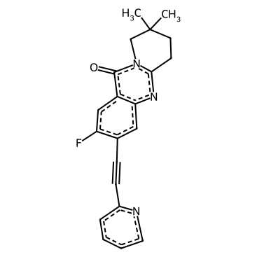 CC1(C)CCc2nc3cc(C#Cc4ccccn4)c(F)cc3c(=O)n2C1